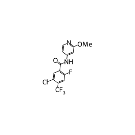 COc1cc(NC(=O)c2cc(Cl)c(C(F)(F)F)cc2F)ccn1